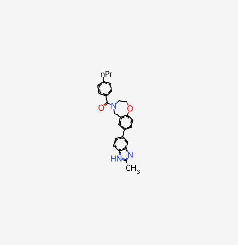 CCCc1ccc(C(=O)N2CCOc3ccc(-c4ccc5[nH]c(C)nc5c4)cc3C2)cc1